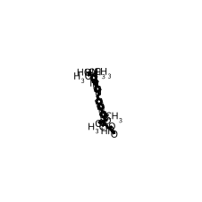 CNc1cc2cn(C3CCN(CCC4CCC5(CC4)CCN(c4ccc(C(=O)N(C=O)C(C)CCC(=O)NC=O)c(C)c4)CC5)CC3)nc2cc1C(C)(C)O